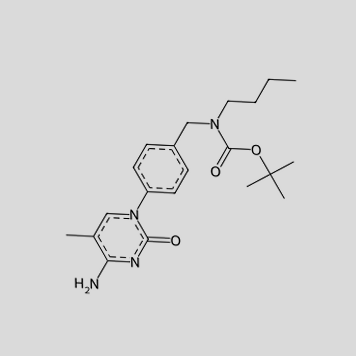 CCCCN(Cc1ccc(-n2cc(C)c(N)nc2=O)cc1)C(=O)OC(C)(C)C